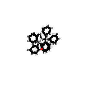 [N-]=[N+]=NN([PH](c1ccccc1)(c1ccccc1)c1ccccc1)[PH](c1ccccc1)(c1ccccc1)c1ccccc1